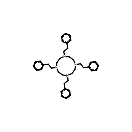 c1ccc(CCN2CCN(CCc3ccccc3)CCN(CCc3ccccc3)CCN(CCc3ccccc3)CC2)cc1